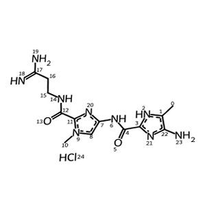 Cc1[nH]c(C(=O)Nc2cn(C)c(C(=O)NCCC(=N)N)n2)nc1N.Cl